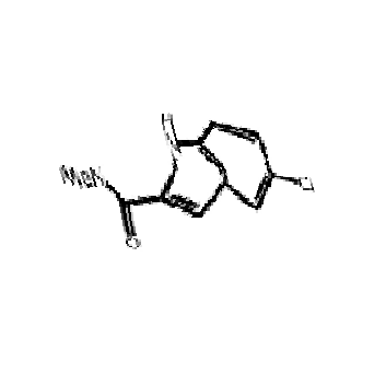 CNC(=O)c1cc2cc(Cl)ccc2[nH]1